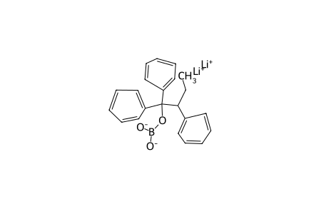 CCC(c1ccccc1)C(OB([O-])[O-])(c1ccccc1)c1ccccc1.[Li+].[Li+]